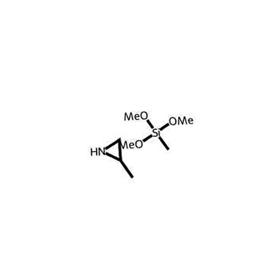 CC1CN1.CO[Si](C)(OC)OC